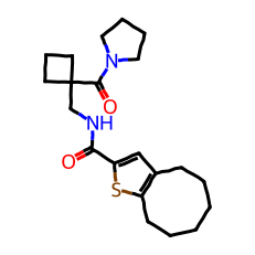 O=C(NCC1(C(=O)N2CCCC2)CCC1)c1cc2c(s1)CCCCCC2